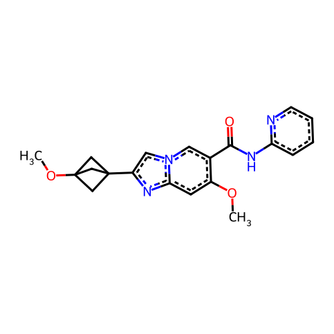 COc1cc2nc(C34CC(OC)(C3)C4)cn2cc1C(=O)Nc1ccccn1